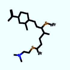 C=C(C)C1CCC(CCC(SCCC)C(C)CCC(SCCN(C)C)C(C)C)C(C)C1